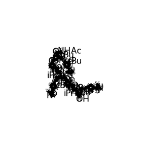 CC(=O)NC(C(=O)N1CC(Oc2ccc3c(c2)C(=O)N(C(C(=O)N2CC(Oc4ccc5c(c4F)C(=O)N(C(C(=O)N4CC(O)CC4C(=O)NCc4ccc(-c6scnc6C)cc4C(C)(C)C)C(C)C)C5)CC2C(=O)NCc2ccc(-c4ocnc4C)cc2C(C)(C)C)C(C)C)C3)CC1C(=O)NCc1ccc(-c2scnc2C)cc1C(C)(C)C)C(C)(C)C